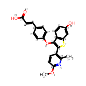 COc1ccc(-c2sc3cc(O)ccc3c2Oc2ccc(C=CC(=O)O)cc2)c(C)n1